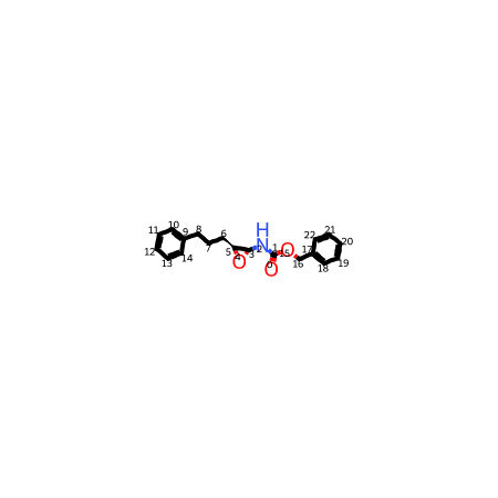 O=C(NC1O[C@H]1CCCc1ccccc1)OCc1ccccc1